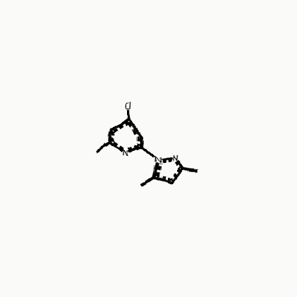 Cc1cc(Cl)cc(-n2nc(C)cc2C)n1